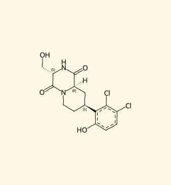 O=C1N[C@@H](CO)C(=O)N2CC[C@H](c3c(O)ccc(Cl)c3Cl)C[C@H]12